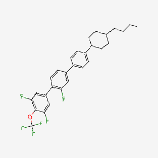 CCCCC1CCC(c2ccc(-c3ccc(-c4cc(F)c(OC(F)(F)F)c(F)c4)c(F)c3)cc2)CC1